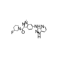 Cn1nc(C(=O)N2CCCC(F)C2)c2ccc(Nc3n[nH]c4cccnc34)cc21